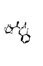 C=NN(Cc1ccccc1F)C(=C)c1ncon1